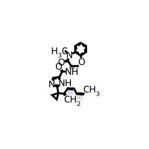 C=C(/C=C\C=C/C)C1(c2ncc(C(=O)N[C@H]3COc4ccccc4N(C)C3=O)[nH]2)CC1